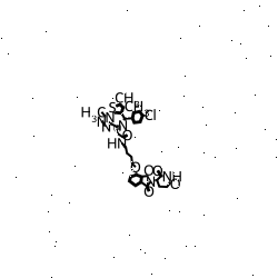 Cc1sc2c(c1C)C(c1ccc(Cl)cc1)=N[C@@H](CC(=O)NCCCCOc1cccc3c1C(=O)N(C1CCC(=O)NC1=O)C3=O)c1nnc(C)n1-2